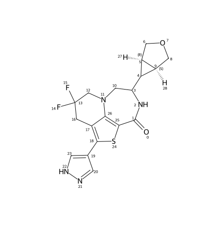 O=C1NC(C2[C@H]3COC[C@@H]23)CN2CC(F)(F)Cc3c(-c4cn[nH]c4)sc1c32